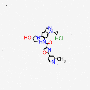 Cc1cc(-c2nc(C(=O)Nc3cc4c(cnn4C4CC4)cc3N3CC[C@H](O)C3)co2)ccn1.Cl